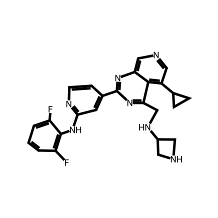 Fc1cccc(F)c1Nc1cc(-c2nc(CNC3CNC3)c3c(C4CC4)cncc3n2)ccn1